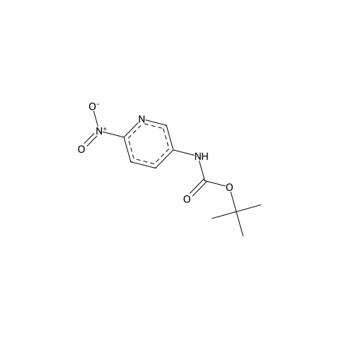 CC(C)(C)OC(=O)Nc1ccc([N+](=O)[O-])nc1